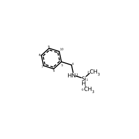 C[SiH](C)NCc1ccccc1